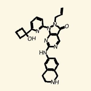 C=CCn1c(=O)c2cnc(Nc3ccc4c(c3)CCNC4)nc2n1-c1cccc(C2(O)CCC2)n1